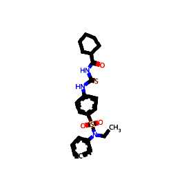 CCN(c1ccccc1)S(=O)(=O)c1ccc(NC(=S)NC(=O)C2CCCCC2)cc1